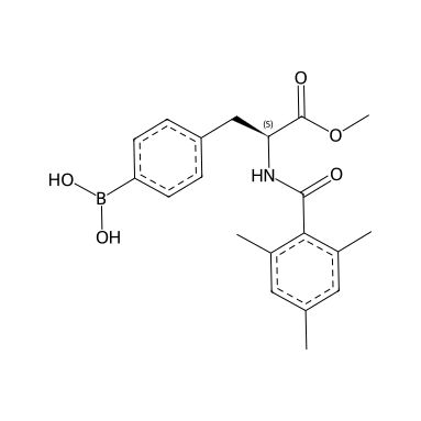 COC(=O)[C@H](Cc1ccc(B(O)O)cc1)NC(=O)c1c(C)cc(C)cc1C